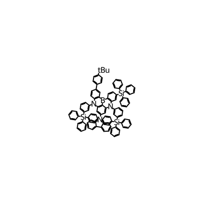 CC(C)(C)c1ccc(-c2ccc3c(c2)B2c4ccc([Si](c5ccccc5)(c5ccccc5)c5ccccc5)cc4N(c4cccc([Si](c5ccccc5)(c5ccccc5)c5ccccc5)c4)c4cc(-n5c6ccccc6c6ccccc65)cc(c42)N3c2cccc([Si](c3ccccc3)(c3ccccc3)c3ccccc3)c2)cc1